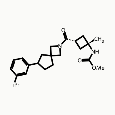 COC(=O)N[C@]1(C)C[C@H](C(=O)N2CC3(CCC(c4cccc(C(C)C)c4)C3)C2)C1